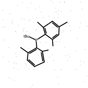 Cc1cc(C)c(B(c2c(C)cccc2C)C(C)(C)C)c(C)c1